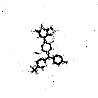 CC[C@@H]1CN(c2cc(=O)n(C)c3c[nH]nc23)[C@@H](C)CN1C(c1ccc(F)cc1)c1ccc(C(F)(F)F)cn1